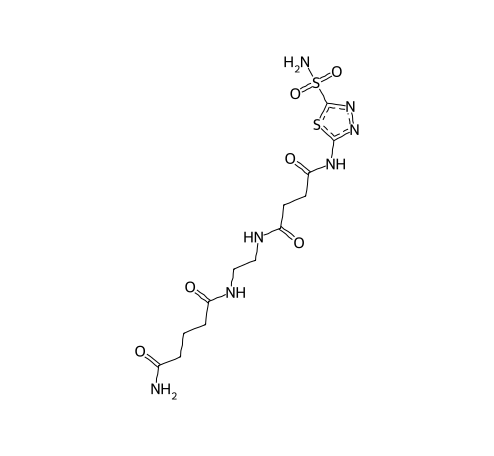 NC(=O)CCCC(=O)NCCNC(=O)CCC(=O)Nc1nnc(S(N)(=O)=O)s1